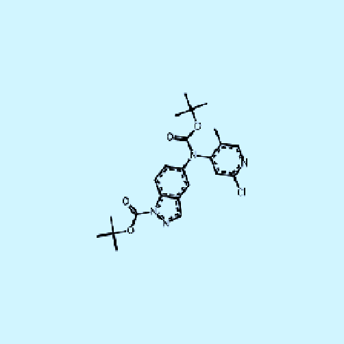 Cc1cnc(Cl)cc1N(C(=O)OC(C)(C)C)c1ccc2c(cnn2C(=O)OC(C)(C)C)c1